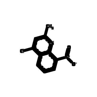 Cc1cc(Cl)c2cccc([N+](=O)[O-])c2n1